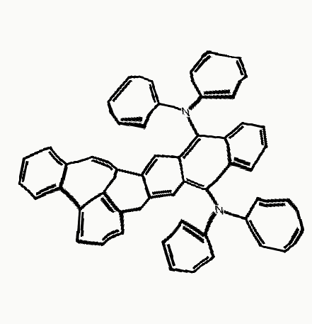 c1ccc(N(c2ccccc2)c2c3ccccc3c(N(c3ccccc3)c3ccccc3)c3cc4c(cc23)-c2cccc3c2c-4cc2ccccc23)cc1